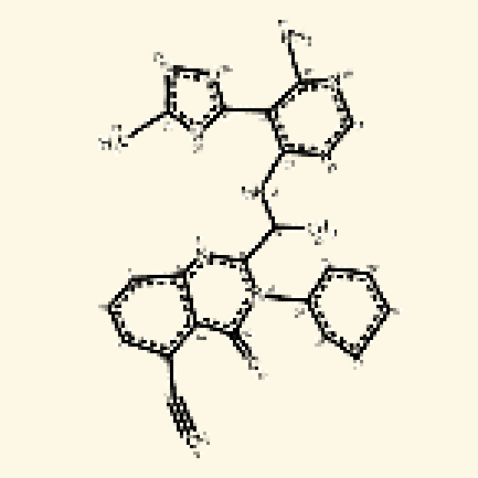 C#Cc1cccc2nc(C(C)Nc3ncnc(N)c3-c3nc(C)no3)n(-c3ccccc3)c(=O)c12